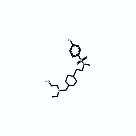 CCN(CCO)CC1CCC(CCN(C)S(=O)(=O)c2ccc(Cl)cc2)CC1